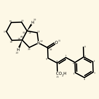 Cc1ccccc1C=C(CC(=O)N1C[C@H]2CCCC[C@H]2C1)C(=O)O